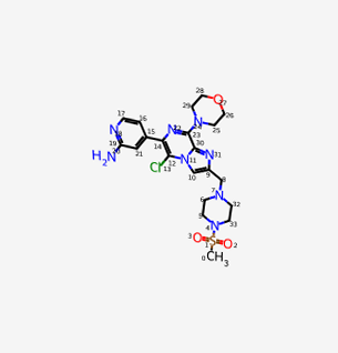 CS(=O)(=O)N1CCN(Cc2cn3c(Cl)c(-c4ccnc(N)c4)nc(N4CCOCC4)c3n2)CC1